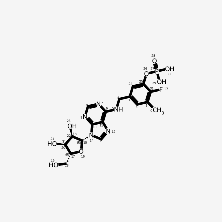 Cc1cc(CNc2ncnc3c2ncn3[C@@H]2O[C@H](CO)[C@@H](O)[C@H]2O)cc(OP(=O)(O)O)c1F